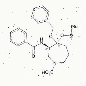 CC(C)(C)[Si](C)(C)O[C@]1(OCc2ccccc2)CCCN(C(=O)O)C[C@H]1NC(=O)c1ccccc1